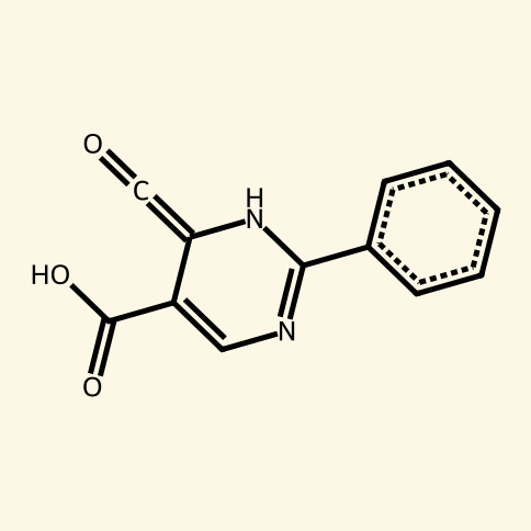 O=C=C1NC(c2ccccc2)=NC=C1C(=O)O